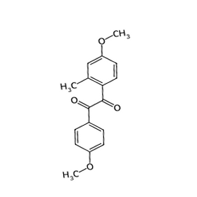 COc1ccc(C(=O)C(=O)c2ccc(OC)cc2C)cc1